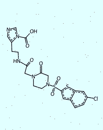 O=C(CN1CCN(S(=O)(=O)c2cc3ccc(Cl)cc3s2)CC1=O)NCCc1cncn1C(=O)O